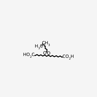 CN(C)CCCC(=O)OC(CCCCCCCC(=O)O)CCCCCCCC(=O)O